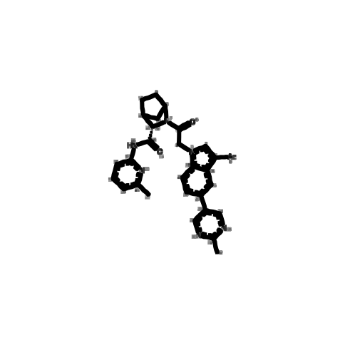 CC(=O)c1cn(CC(=O)N2C3CCC(C3)[C@H]2C(=O)Nc2cccc(C)n2)c2ccc(-c3cnc(C)nc3)cc12